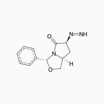 N=N[C@H]1C[C@H]2CO[C@H](c3ccccc3)N2C1=O